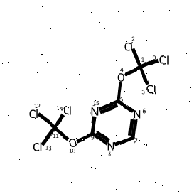 ClC(Cl)(Cl)Oc1ncnc(OC(Cl)(Cl)Cl)n1